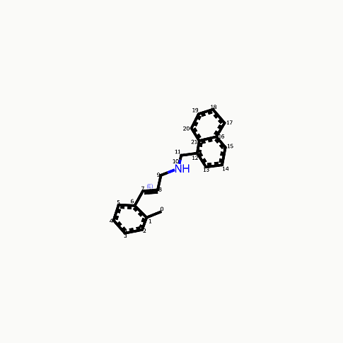 Cc1ccccc1/C=C/CNCc1cccc2ccccc12